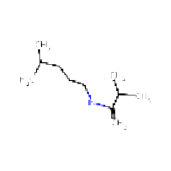 C=C(NCCCC(C)C)C(C)C